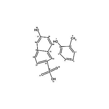 Cc1ccccc1O.O=S(=O)(O)c1ccc2cc(O)ccc2c1